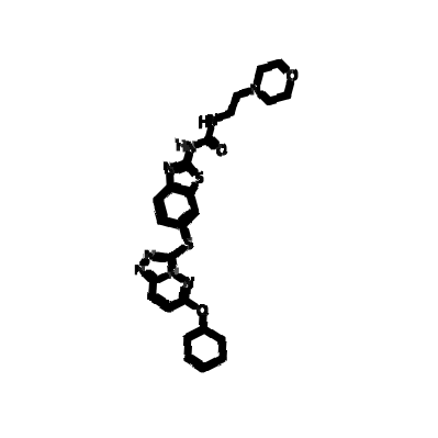 O=C(NCCN1CCOCC1)Nc1nc2ccc(Sc3nnc4ccc(OC5CCCCC5)nn34)cc2s1